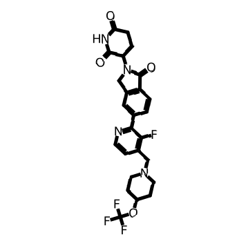 O=C1CCC(N2Cc3cc(-c4nccc(CN5CCC(OC(F)(F)F)CC5)c4F)ccc3C2=O)C(=O)N1